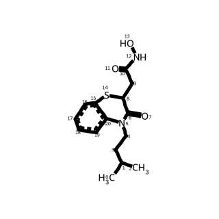 CC(C)CCN1C(=O)C(CC(=O)NO)Sc2ccccc21